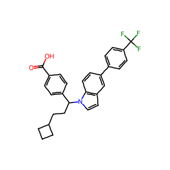 O=C(O)c1ccc(C(CCC2CCC2)n2ccc3cc(-c4ccc(C(F)(F)F)cc4)ccc32)cc1